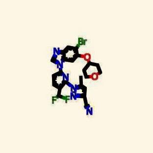 Cc1cc(C#N)nn1-c1nc(-n2cnc3cc(Br)c(OC4CCOCC4)cc32)ccc1C(F)F